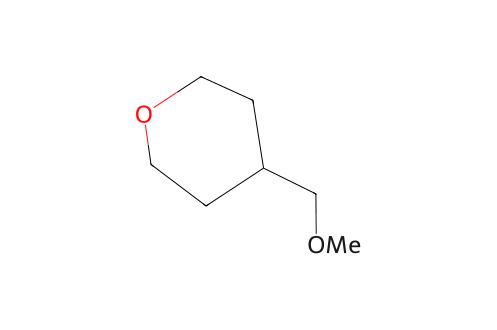 [CH2]OCC1CCOCC1